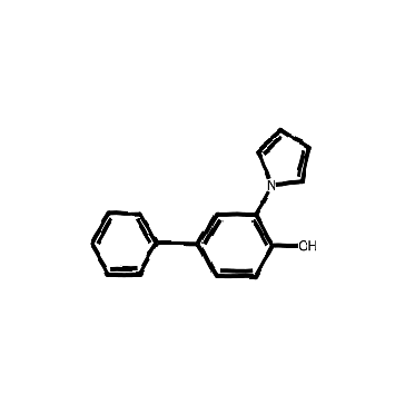 Oc1ccc(-c2ccccc2)cc1-n1cccc1